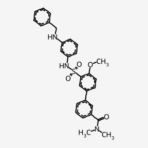 COc1ccc(-c2cccc(C(=O)N(C)C)c2)cc1S(=O)(=O)Nc1cccc(NCc2ccccc2)c1